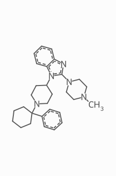 CN1CCN(c2nc3ccccc3n2C2CCN(C3(c4ccccc4)CCCCC3)CC2)CC1